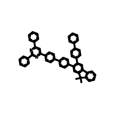 CC1(C)c2ccccc2-c2cc(-c3ccc(-c4ccccc4)cc3)c(-c3ccc(-c4ccc(-c5cc(-c6ccccc6)nc(-c6ccccc6)n5)cc4)cc3)cc21